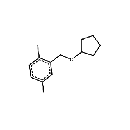 Cc1ccc(C)c(COC2CCCC2)c1